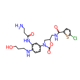 NCCC(=O)Nc1cc(N2CC(CNC(=O)c3ccc(Cl)s3)OC2=O)ccc1NCCCO